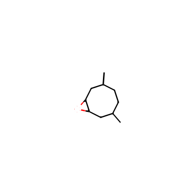 CC1CCC(C)CC2OC2C1